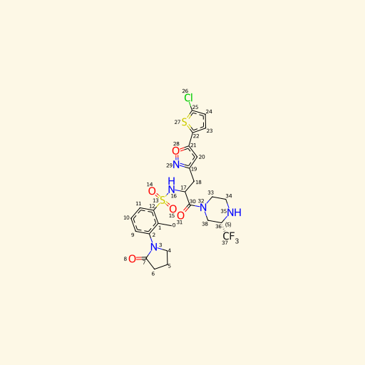 Cc1c(N2CCCC2=O)cccc1S(=O)(=O)NC(Cc1cc(-c2ccc(Cl)s2)on1)C(=O)N1CCN[C@H](C(F)(F)F)C1